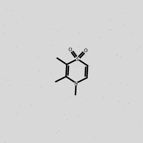 CC1=C(C)S(=O)(=O)C=CN1C